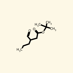 CCCC(C=O)CC(=O)OC(C)(C)C